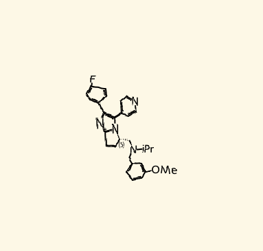 COc1cccc(CN(C[C@@H]2CCc3nc(-c4ccc(F)cc4)c(-c4ccncc4)n32)C(C)C)c1